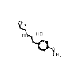 CCCNCCc1ccc(OC)cc1.Cl